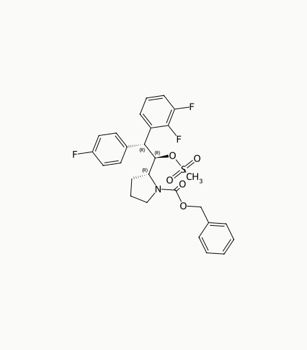 CS(=O)(=O)O[C@H]([C@H](c1ccc(F)cc1)c1cccc(F)c1F)[C@H]1CCCN1C(=O)OCc1ccccc1